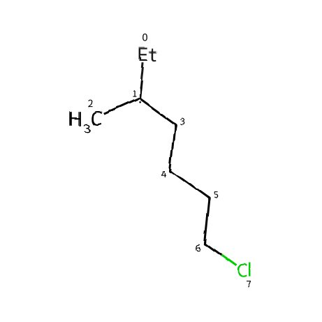 CC[C](C)CCCCCl